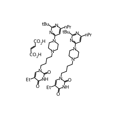 CCCc1cc(N2CCN(CCCCn3cc(CC)c(=O)[nH]c3=O)CC2)nc(C(C)(C)C)n1.CCCc1cc(N2CCN(CCCCn3cc(CC)c(=O)[nH]c3=O)CC2)nc(C(C)(C)C)n1.O=C(O)C=CC(=O)O